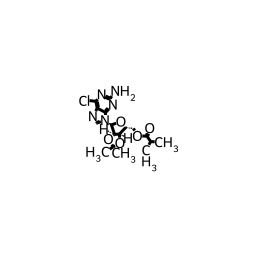 CC(C)C(=O)OC[C@H]1O[C@@H](n2cnc3c(Cl)nc(N)nc32)[C@@H]2OC(C)(C)O[C@@H]21